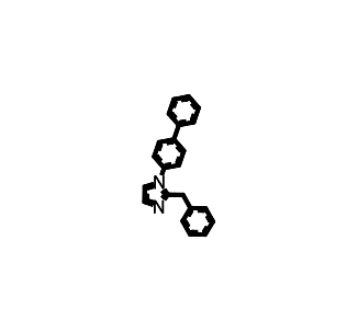 c1ccc(Cc2nccn2-c2ccc(-c3ccccc3)cc2)cc1